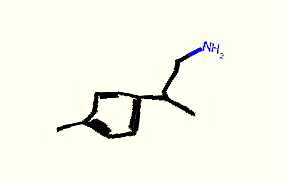 Cc1ccc(C(C)CN)cc1